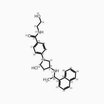 C[C@@H](N[C@H]1CCN(c2ccc(C(=O)NCCO)cc2)C1)c1cccc2ccccc12.Cl